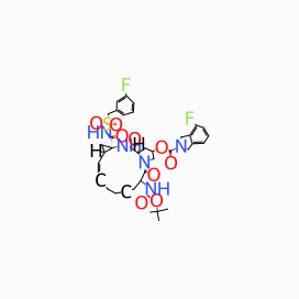 CC(C)(C)OC(=O)N[C@H]1CCCCC/C=C\[C@@H]2C[C@@]2(C(=O)NS(=O)(=O)Cc2cccc(F)c2)NC(=O)[C@@H]2C[C@@H](OC(=O)N3Cc4cccc(F)c4C3)CN2C1=O